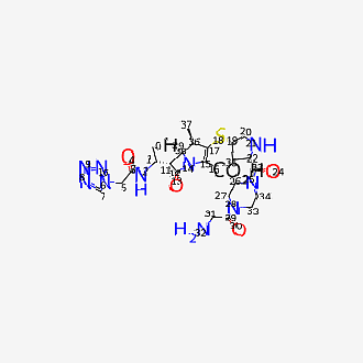 CC(NC(=O)Cn1cnnn1)[C@H]1C(=O)N2C(C(=O)O)=C(S[C@@H]3CN[C@H](C(=O)N4CCN(C(=O)CN)CC4)C3)[C@H](C)[C@H]12